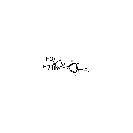 CC1(O)C[C@H](c2ccc(F)cc2)N1